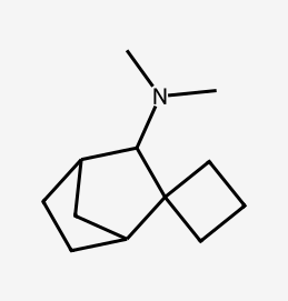 CN(C)C1C2CCC(C2)C12CCC2